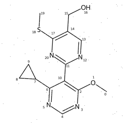 COc1ncnc(C2CC2)c1-c1ncc(CO)c(SC)n1